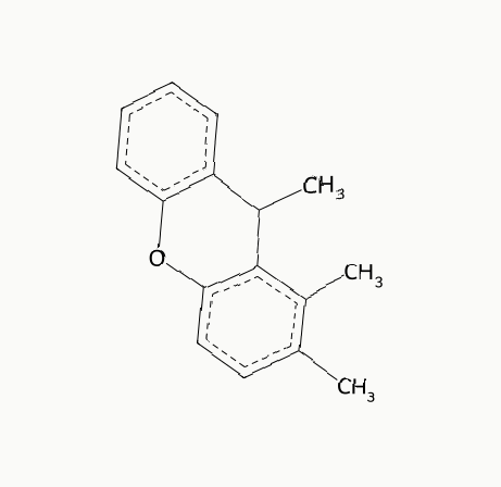 Cc1ccc2c(c1C)C(C)c1ccccc1O2